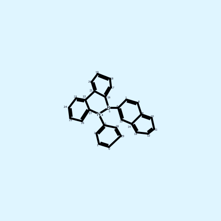 c1ccc(N2B(c3ccc4ccccc4c3)c3ccccc3-c3ccccc32)cc1